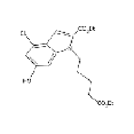 CCOC(=O)CCCCn1c(C(=O)OCC)cc2c(Cl)cc(O)cc21